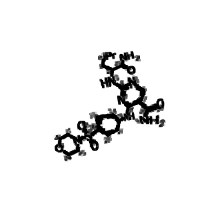 CC(C)CC(Nc1ncc(C(N)=O)c(Nc2ccc(S(=O)(=O)N3CCOCC3)cc2)n1)C(N)=O